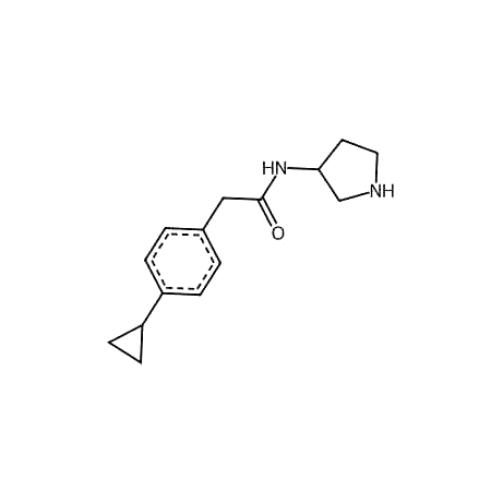 O=C(Cc1ccc(C2CC2)cc1)NC1CCNC1